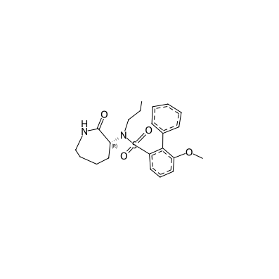 CCCN([C@@H]1CCCCNC1=O)S(=O)(=O)c1cccc(OC)c1-c1ccccc1